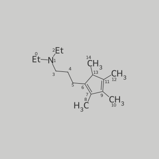 CCN(CC)CCCC1=C(C)C(C)=C(C)C1C